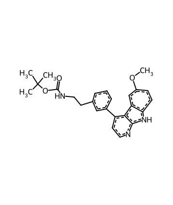 COc1ccc2[nH]c3nccc(-c4cccc(CCNC(=O)OC(C)(C)C)c4)c3c2c1